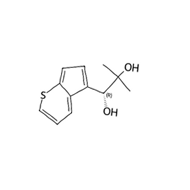 CC(C)(O)[C@H](O)c1ccc2scccc1-2